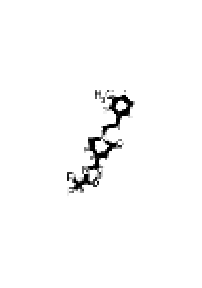 Cc1cccc(CCn2ccc(-c3noc(C(F)(F)F)n3)cc2=O)c1